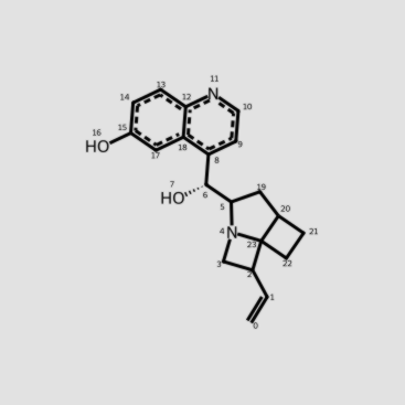 C=CC1CN2C([C@H](O)c3ccnc4ccc(O)cc34)CC3CCC132